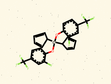 Fc1cc(C(F)(F)F)ccc1[O][Zr]([O]c1ccc(C(F)(F)F)cc1F)([CH]1C=CC=C1)[CH]1C=CC=C1